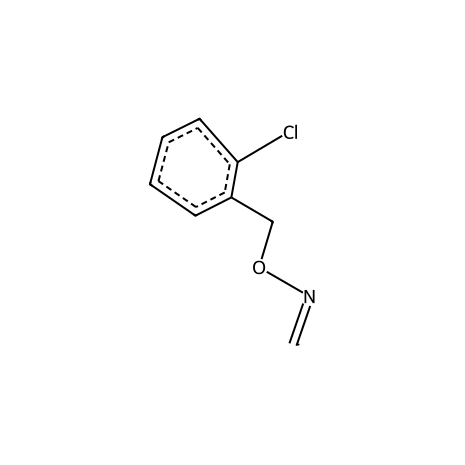 [CH]=NOCc1ccccc1Cl